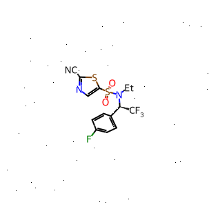 CCN([C@H](c1ccc(F)cc1)C(F)(F)F)S(=O)(=O)c1cnc(C#N)s1